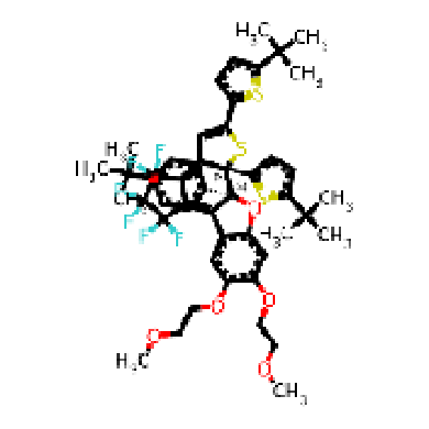 COCCOc1cc2c(cc1OCCOC)C1=C3C(=C4C=C(c5ccc(C(C)(C)C)s5)S[C@]4(c4ccc(C(C)(C)C)s4)[C@@]1(c1ccc(C(C)(C)C)cc1)O2)C(F)(F)C(F)(F)C3(F)F